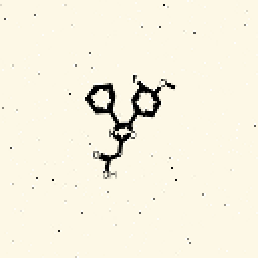 COc1ccc(-c2oc(CC(=O)O)nc2-c2ccccc2)cc1F